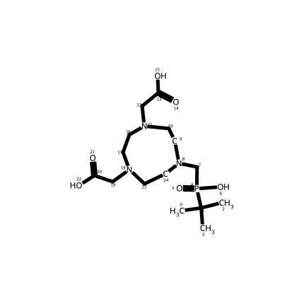 CC(C)(C)P(=O)(O)CN1CCN(CC(=O)O)CCN(CC(=O)O)CC1